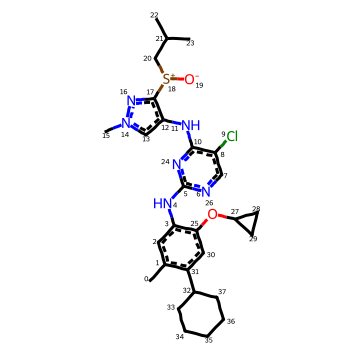 Cc1cc(Nc2ncc(Cl)c(Nc3cn(C)nc3[S+]([O-])CC(C)C)n2)c(OC2CC2)cc1C1CCCCC1